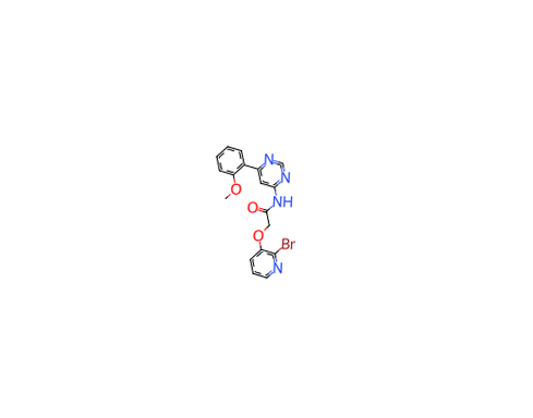 COc1ccccc1-c1cc(NC(=O)COc2cccnc2Br)ncn1